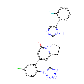 O=c1cc(-c2cc(Cl)ccc2-n2cnnn2)cc2n1[C@H](c1ncc(-c3ccccc3F)[nH]1)CC2